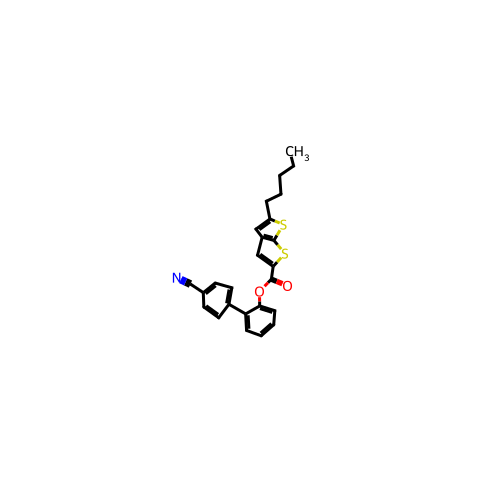 CCCCCc1cc2cc(C(=O)Oc3ccccc3-c3ccc(C#N)cc3)sc2s1